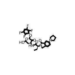 CC[C@@H](C(=O)N[C@@H](CC(=O)O)C(=O)COc1c(F)c(F)cc(F)c1F)N1Cc2ccc(N3CCCC3)cc2C1=O